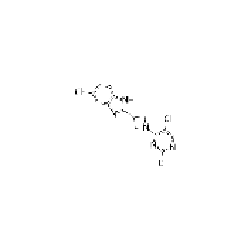 Clc1ccc2[nH]c(C3CN(c4nc(Cl)ncc4Cl)C3)nc2c1